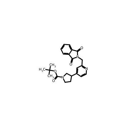 CC(C)(C)OC(=O)N1CCC(c2ccnc(CN3C(=O)c4ccccc4C3=O)c2)C1